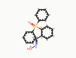 O=P(c1ccccc1)(c1ccccc1)c1ccccc1C=NO